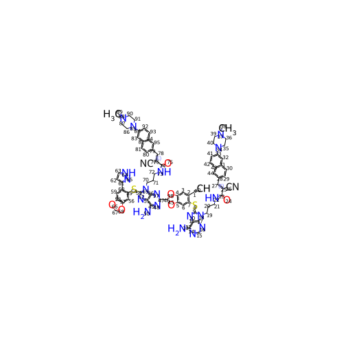 C#Cc1cc2c(cc1Sc1nc3c(N)ncnc3n1CCCNC(=O)/C(C#N)=C/c1ccc3cc(N4CCN(C)CC4)ccc3c1)OC(c1nc(N)c3nc(Sc4cc5c(cc4-c4cc[nH]n4)OCO5)n(CCCNC(=O)/C(C#N)=C/c4ccc5cc(N6CCN(C)CC6)ccc5c4)c3n1)O2